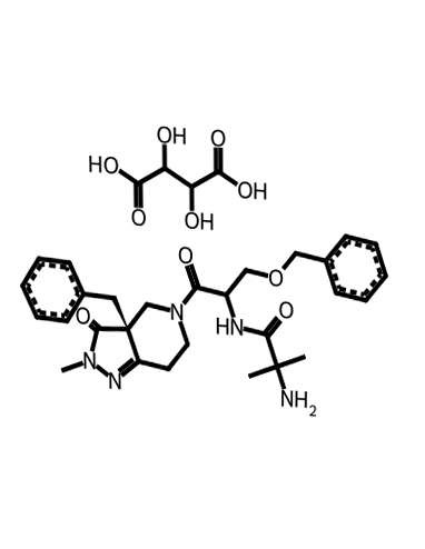 CN1N=C2CCN(C(=O)C(COCc3ccccc3)NC(=O)C(C)(C)N)C[C@@]2(Cc2ccccc2)C1=O.O=C(O)C(O)C(O)C(=O)O